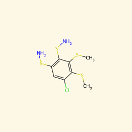 CSc1c(Cl)cc(SN)c(SN)c1SC